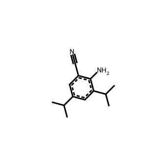 CC(C)c1cc(C#N)c(N)c(C(C)C)c1